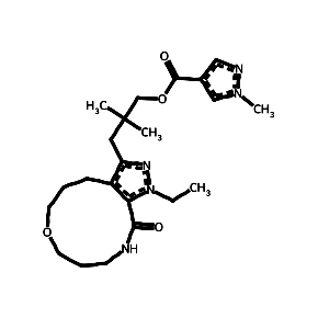 CCn1nc(CC(C)(C)COC(=O)c2cnn(C)c2)c2c1C(=O)NCCCOCCC2